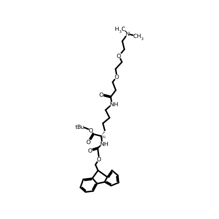 CN(C)CCOCCOCCC(=O)NCCCC[C@H](NC(=O)OCC1c2ccccc2-c2ccccc21)C(=O)OC(C)(C)C